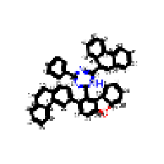 c1ccc(C2=NC(c3c(-c4ccc5ccc6ccccc6c5c4)ccc4oc5ccccc5c34)NC(c3cc4ccccc4c4ccccc34)=N2)cc1